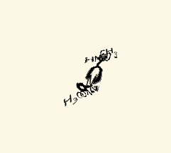 COc1cccc2c(N3CCC(CCS(C)(=N)=O)CC3)ncnc12